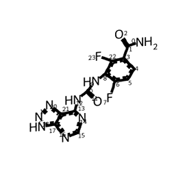 NC(=O)c1ccc(F)c(NC(=O)Nc2ncnc3[nH]nnc23)c1F